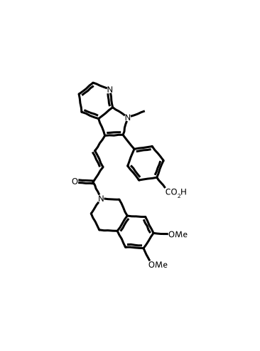 COc1cc2c(cc1OC)CN(C(=O)C=Cc1c(-c3ccc(C(=O)O)cc3)n(C)c3ncccc13)CC2